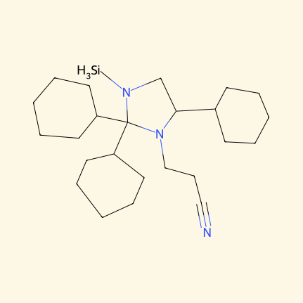 N#CCCN1C(C2CCCCC2)CN([SiH3])C1(C1CCCCC1)C1CCCCC1